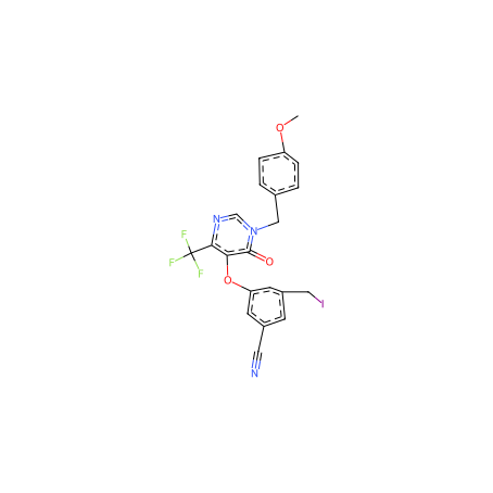 COc1ccc(Cn2cnc(C(F)(F)F)c(Oc3cc(C#N)cc(CI)c3)c2=O)cc1